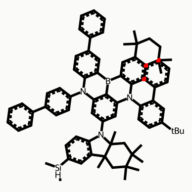 C[SiH](C)c1ccc2c(c1)C1(C)CC(C)(C)C(C)(C)CC1(C)N2c1cc2c3c(c1)N(c1ccc(C(C)(C)C)cc1-c1ccccc1)c1cc4c(cc1B3c1cc(-c3ccccc3)ccc1N2c1ccc(-c2ccccc2)cc1)C(C)(C)CCC4(C)C